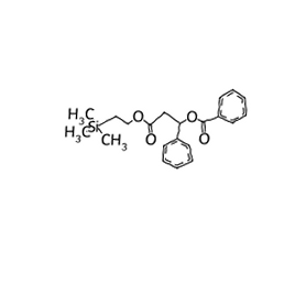 C[Si](C)(C)CCOC(=O)CC(OC(=O)c1ccccc1)c1ccccc1